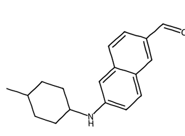 CC1CCC(Nc2ccc3cc(C=O)ccc3c2)CC1